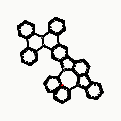 c1ccc(-n2c3ccccc3c3ccc4c5cc6c(cc5n(-c5ccccc5)c4c32)N2B(c3ccccc3-c3ccccc32)c2ccccc2-6)cc1